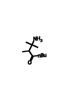 CCCCC(=O)C(C)C(C)(C)N